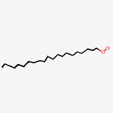 CCCCCCCCCCCCCCCCCCCCO[O]